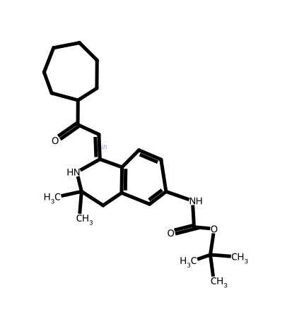 CC1(C)Cc2cc(NC(=O)OC(C)(C)C)ccc2/C(=C/C(=O)C2CCCCCC2)N1